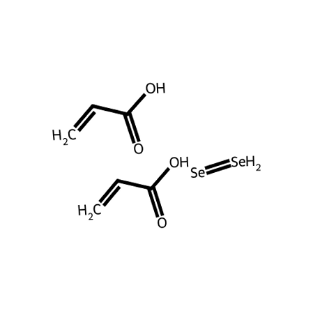 C=CC(=O)O.C=CC(=O)O.[Se]=[SeH2]